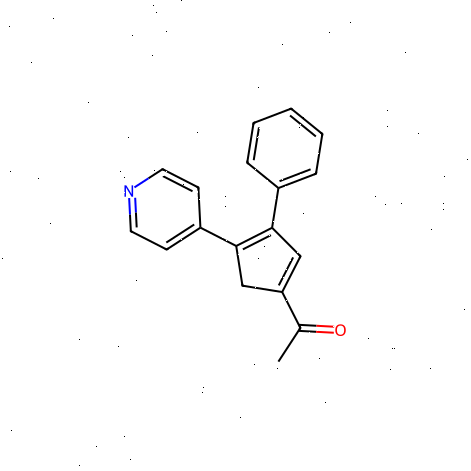 CC(=O)C1=CC(c2ccccc2)=C(c2ccncc2)C1